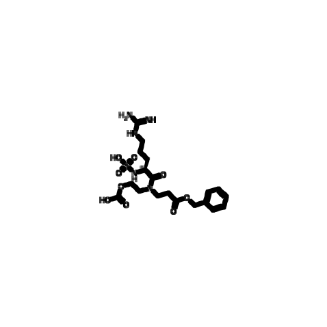 N=C(N)NCCC[C@H](NS(=O)(=O)O)C(=O)N(CCOC(=O)O)CCC(=O)OCc1ccccc1